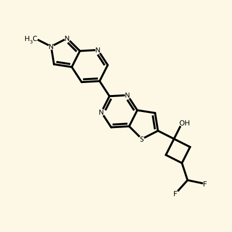 Cn1cc2cc(-c3ncc4sc(C5(O)CC(C(F)F)C5)cc4n3)cnc2n1